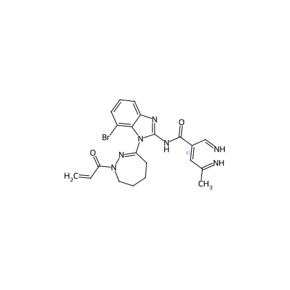 C=CC(=O)N1CCCCC(n2c(NC(=O)/C(C=N)=C/C(C)=N)nc3cccc(Br)c32)=N1